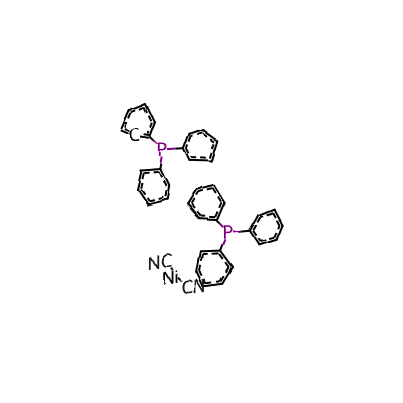 N#[C][Ni][C]#N.c1ccc(P(c2ccccc2)c2ccccc2)cc1.c1ccc(P(c2ccccc2)c2ccccc2)cc1